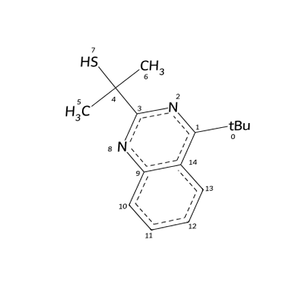 CC(C)(C)c1nc(C(C)(C)S)nc2ccccc12